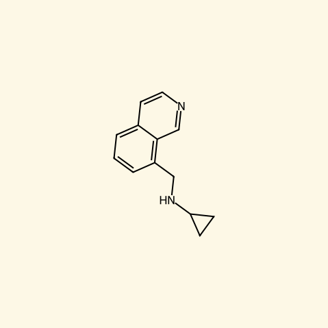 c1cc(CNC2CC2)c2cnccc2c1